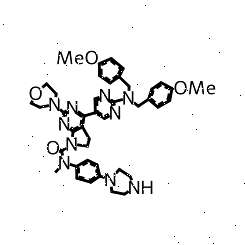 COc1ccc(CN(Cc2ccc(OC)cc2)c2ncc(-c3nc(N4CCOCC4)nc4c3CCN4C(=O)N(C)c3ccc(N4CCNCC4)cc3)cn2)cc1